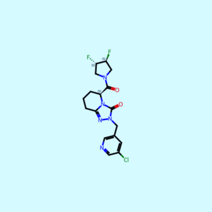 O=C([C@@H]1CCCc2nn(Cc3cncc(Cl)c3)c(=O)n21)N1C[C@H](F)[C@@H](F)C1